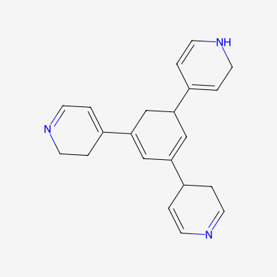 C1=CC(C2=CC(C3=CCNC=C3)CC(C3=CC=NCC3)=C2)CC=N1